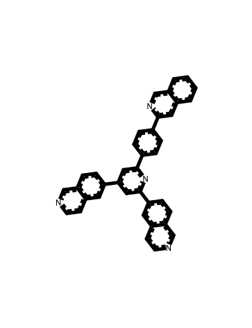 c1ccc2cc(-c3ccc(-c4cc(-c5ccc6cnccc6c5)cc(-c5ccc6cnccc6c5)n4)cc3)ncc2c1